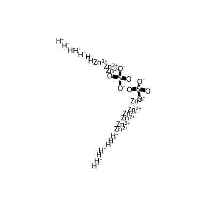 O=S(=O)([O-])[O-].O=S(=O)([O-])[O-].[H-].[H-].[H-].[H-].[H-].[H-].[H-].[H-].[H-].[H-].[H-].[H-].[H-].[H-].[Zn+2].[Zn+2].[Zn+2].[Zn+2].[Zn+2].[Zn+2].[Zn+2].[Zn+2].[Zn+2]